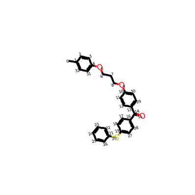 Cc1ccc(OCCCOc2ccc(C(=O)c3ccc(Sc4ccccc4)cc3)cc2)cc1